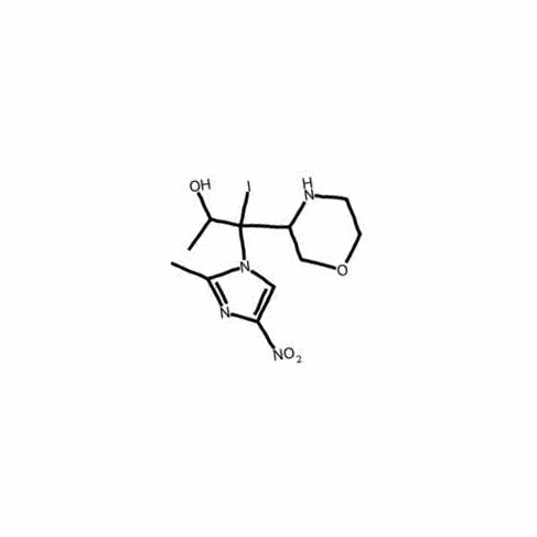 Cc1nc([N+](=O)[O-])cn1C(I)(C(C)O)C1COCCN1